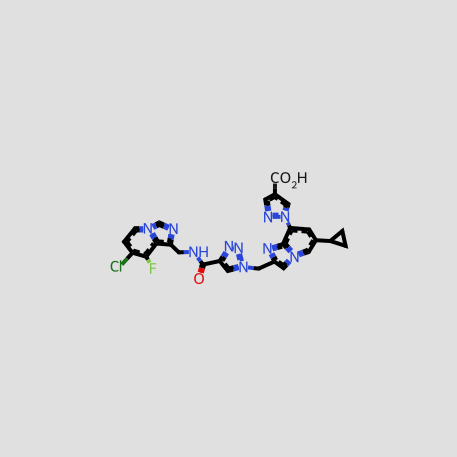 O=C(O)c1cnn(-c2cc(C3CC3)cn3cc(Cn4cc(C(=O)NCc5ncn6ccc(Cl)c(F)c56)nn4)nc23)c1